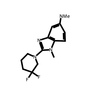 CNc1ccc2c(c1)nc(N1CCCC(F)(F)C1)n2C